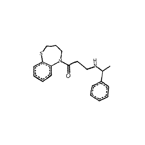 CC(NCCC(=O)N1CCCSc2ccccc21)c1ccccc1